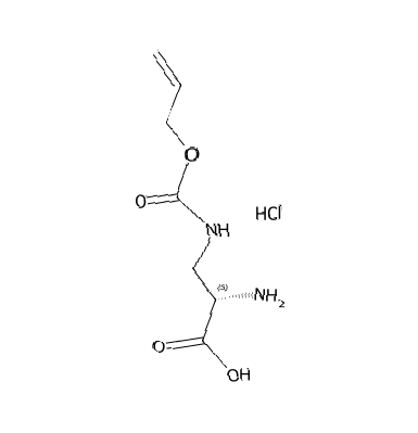 C=CCOC(=O)NC[C@H](N)C(=O)O.Cl